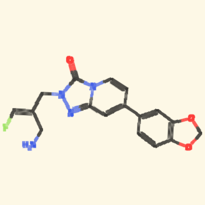 NC/C(=C\F)Cn1nc2cc(-c3ccc4c(c3)OCO4)ccn2c1=O